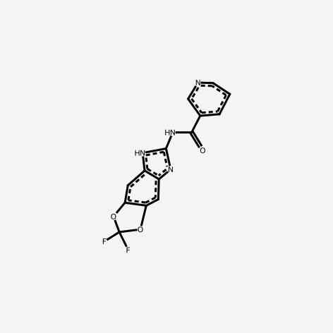 O=C(Nc1nc2cc3c(cc2[nH]1)OC(F)(F)O3)c1cccnc1